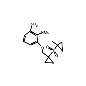 CNc1c(OCC2(S(=O)(=O)C3(C)CC3)CC2)cccc1[N+](=O)[O-]